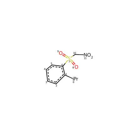 CC(C)c1ccccc1S(=O)(=O)C[N+](=O)[O-]